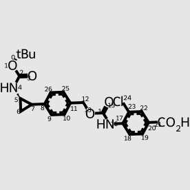 CC(C)(C)OC(=O)N[C@H]1CC1c1ccc(COC(=O)Nc2ccc(C(=O)O)cc2Cl)cc1